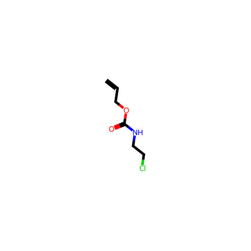 C=CCOC(=O)NCCCl